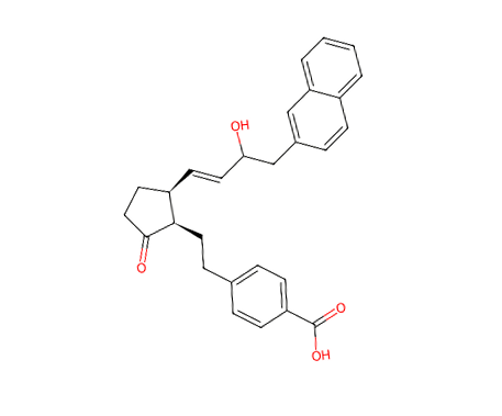 O=C(O)c1ccc(CC[C@H]2C(=O)CC[C@H]2C=CC(O)Cc2ccc3ccccc3c2)cc1